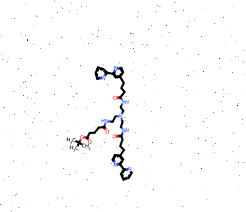 CC(C)(C)OC(=O)CCCC(=O)NCCN(CCNC(=O)CCCc1ccnc(-c2ccccn2)c1)CCNC(=O)CCCc1ccnc(-c2ccccn2)c1